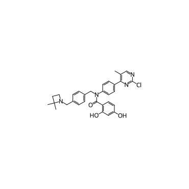 Cc1cnc(Cl)nc1-c1ccc(N(Cc2ccc(CN3CCC3(C)C)cc2)C(=O)c2ccc(O)cc2O)cc1